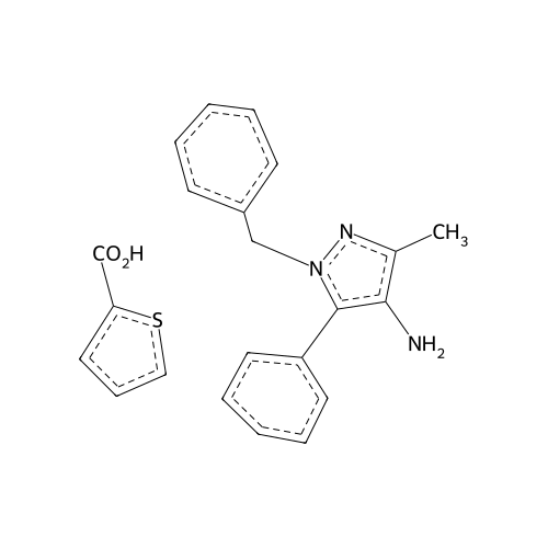 Cc1nn(Cc2ccccc2)c(-c2ccccc2)c1N.O=C(O)c1cccs1